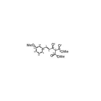 COC(=O)C(C(=O)C=Cc1cccc(OC)c1)C(=O)OC